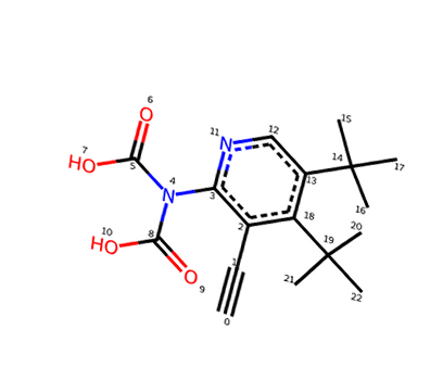 C#Cc1c(N(C(=O)O)C(=O)O)ncc(C(C)(C)C)c1C(C)(C)C